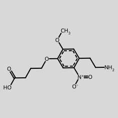 COc1cc(CCN)c([N+](=O)[O-])cc1OCCCC(=O)O